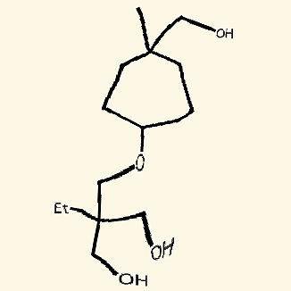 CCC(CO)(CO)COC1CCC(C)(CO)CC1